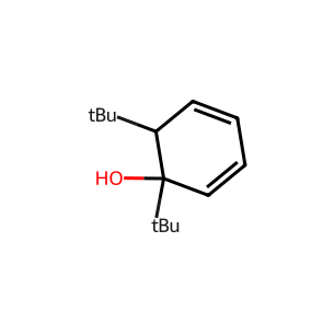 CC(C)(C)C1C=CC=CC1(O)C(C)(C)C